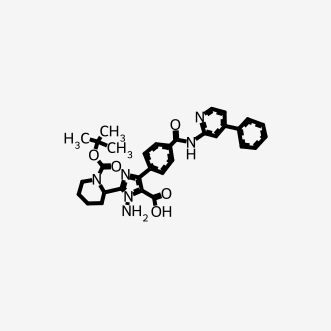 CC(C)(C)OC(=O)N1CCCCC1c1nc(-c2ccc(C(=O)Nc3cc(-c4ccccc4)ccn3)cc2)c(C(=O)O)n1N